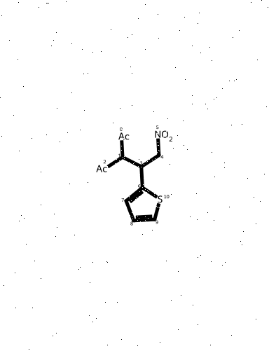 CC(=O)C(C(C)=O)C(C[N+](=O)[O-])c1cccs1